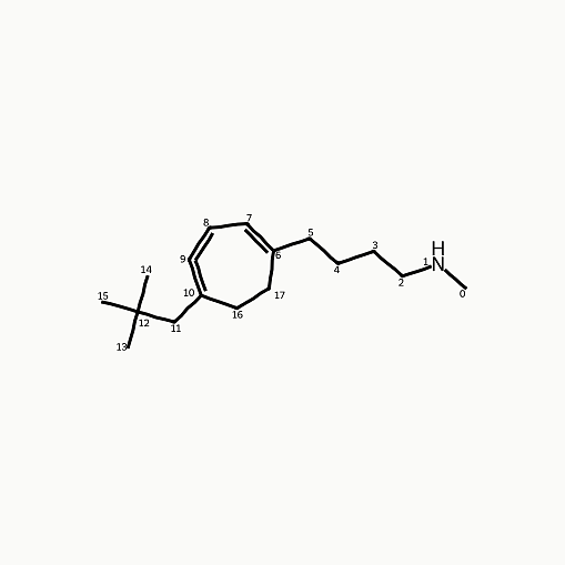 CNCCCCC1=CC=C=C(CC(C)(C)C)CC1